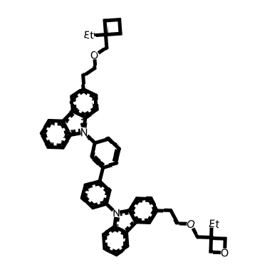 CCC1(COCCc2ccc3c(c2)c2ccccc2n3C2C=C(c3cccc(-n4c5ccccc5c5cc(CCOCC6(CC)COC6)ccc54)c3)C=CC2)CCC1